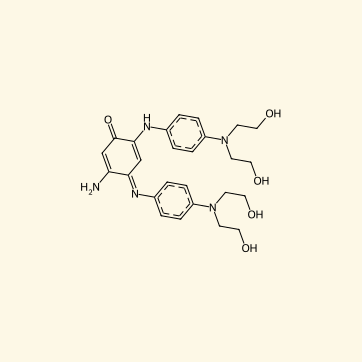 NC1=CC(=O)C(Nc2ccc(N(CCO)CCO)cc2)=C/C1=N\c1ccc(N(CCO)CCO)cc1